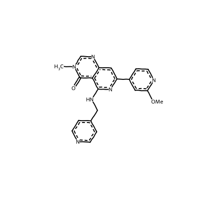 COc1cc(-c2cc3ncn(C)c(=O)c3c(NCc3ccncc3)n2)ccn1